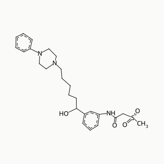 CS(=O)(=O)CC(=O)Nc1cccc(C(O)CCCCCN2CCN(c3ccccc3)CC2)c1